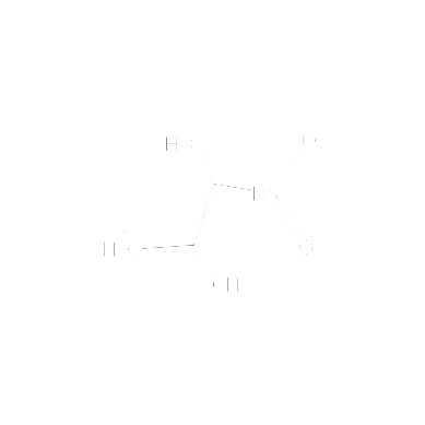 [CH2]C(C(C)C)[SH](=O)=O